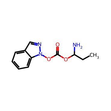 CCC(N)OC(=O)On1ncc2ccccc21